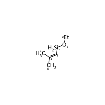 CCO[SiH2]C=C(C)C